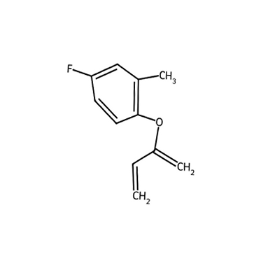 C=CC(=C)Oc1ccc(F)cc1C